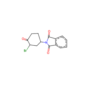 O=C1CCC(N2C(=O)c3ccccc3C2=O)CC1Br